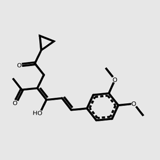 COc1ccc(/C=C/C(O)=C(\CC(=O)C2CC2)C(C)=O)cc1OC